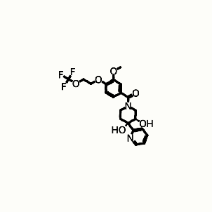 COc1cc(C(=O)N2CC[C@@](O)(c3ccccn3)[C@H](O)C2)ccc1OCCOC(F)(F)F